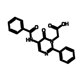 O=C(O)Cn1c(-c2ccccc2)ncc(NC(=O)c2ccccc2)c1=O